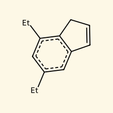 CCc1cc2c(c(CC)c1)CC=C2